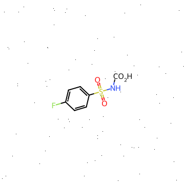 O=C(O)NS(=O)(=O)c1ccc(F)cc1